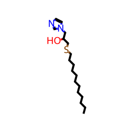 CCCCCCCCCCCCSCC(O)Cn1ccnc1